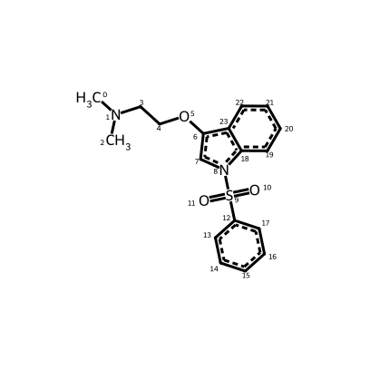 CN(C)CCOc1cn(S(=O)(=O)c2ccccc2)c2ccccc12